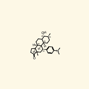 C[C@H]1CC[C@H]2C(CC[C@@H]3[C@@H]2[C@@H](c2ccc(N(C)C)cc2)C[C@]2(C)C(=O)CC[C@@H]32)[C@@H]1O